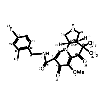 COc1c2n(cc(C(=O)NCc3ccc(F)cc3F)c1=O)[C@@H]1COC[C@@H]1C(C)(C)C2=O